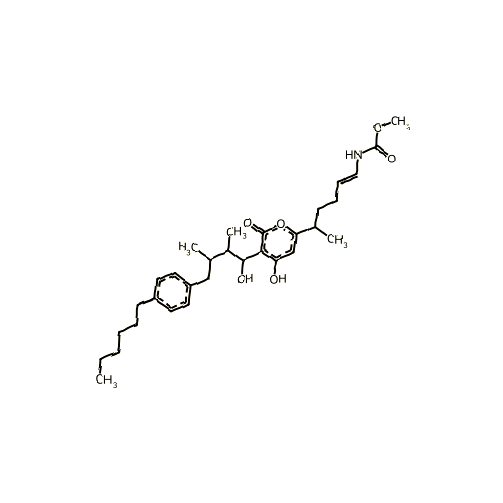 CCCCCCc1ccc(CC(C)C(C)C(O)c2c(O)cc(C(C)CC/C=C/NC(=O)OC)oc2=O)cc1